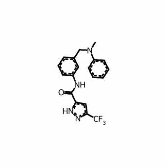 CN(Cc1cccc(NC(=O)c2cc(C(F)(F)F)n[nH]2)c1)c1ccccc1